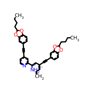 C=C/C=C(C#Cc1ccc2c(c1)OC(CCCC)O2)\C=C(/N)c1cc(C#Cc2ccc3c(c2)OC(CCCC)O3)ccn1